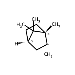 CC1(C)[C@H]2C[CH][C@@]1(C)CC2.[CH3]